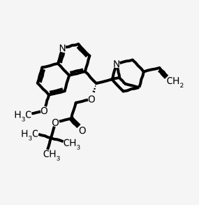 C=CC1CN2CCC1CC2[C@H](OCC(=O)OC(C)(C)C)c1ccnc2ccc(OC)cc12